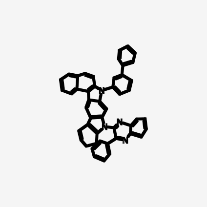 C1=Cc2c(n(-c3nc4ccccc4nc3-c3ccccc3)c3cc4c(cc23)c2c3ccccc3ccc2n4-c2cccc(-c3ccccc3)c2)CC1